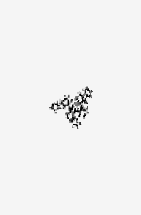 c1cccc(-c2cccc(-c3cccc4c3oc3ccccc34)c2-c2oc(-c3cccc(-c4ccccc4)c3)c3c2CCC=C3)c#1